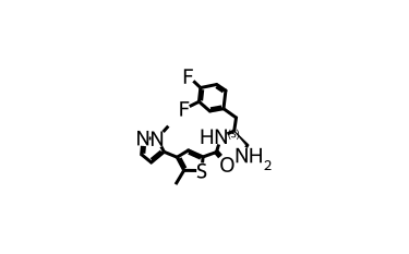 Cc1sc(C(=O)N[C@H](CN)Cc2ccc(F)c(F)c2)cc1-c1ccnn1C